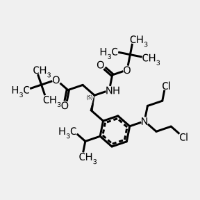 CC(C)c1ccc(N(CCCl)CCCl)cc1C[C@@H](CC(=O)OC(C)(C)C)NC(=O)OC(C)(C)C